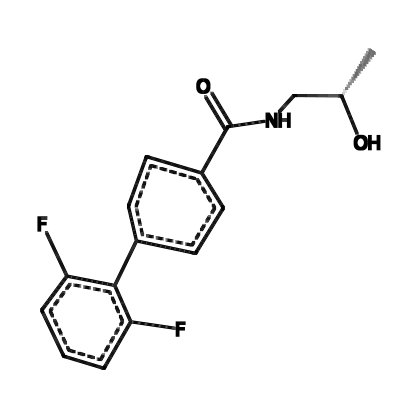 C[C@H](O)CNC(=O)c1ccc(-c2c(F)cccc2F)cc1